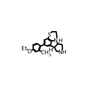 CCOc1ccc(-c2cc3c4c(c2)[C@@H]2CNCC[C@@H]2N4CCCS3)c(C)c1